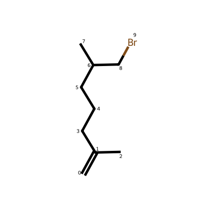 C=C(C)CCCC(C)CBr